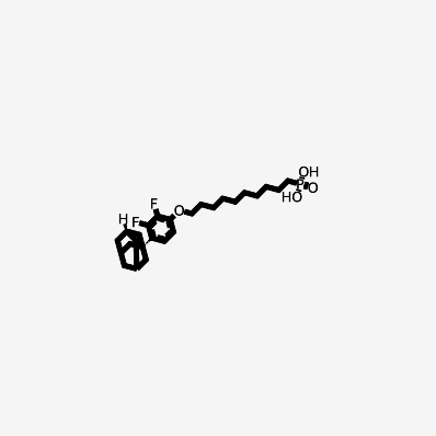 O=P(O)(O)CCCCCCCCCCOc1ccc([C@]23CC4CC(C[C@H](C4)C2)C3)c(F)c1F